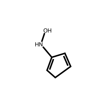 ONC1=CCC=C1